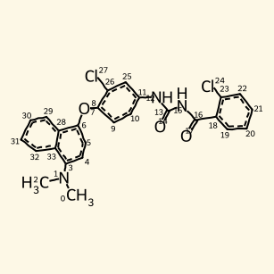 CN(C)c1ccc(Oc2ccc(NC(=O)NC(=O)c3ccccc3Cl)cc2Cl)c2ccccc12